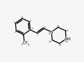 FC(F)(F)c1ccccc1C=CN1CCNCC1